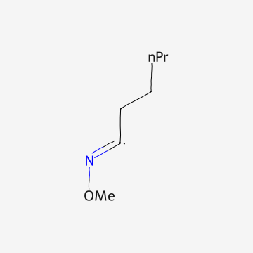 CCCCC/[C]=N/OC